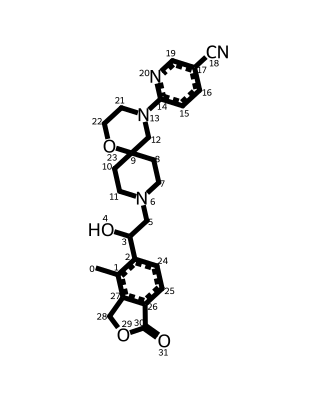 Cc1c(C(O)CN2CCC3(CC2)CN(c2ccc(C#N)cn2)CCO3)ccc2c1COC2=O